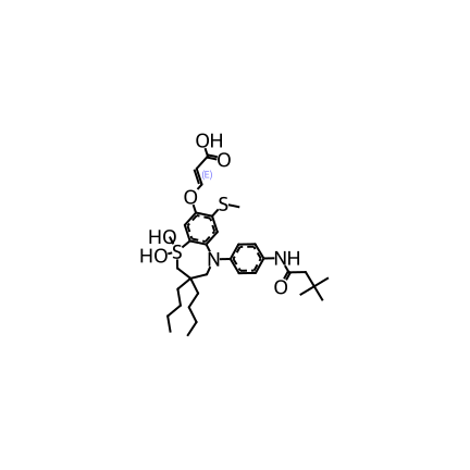 CCCCC1(CCCC)CN(c2ccc(NC(=O)CC(C)(C)C)cc2)c2cc(SC)c(O/C=C/C(=O)O)cc2S(O)(O)C1